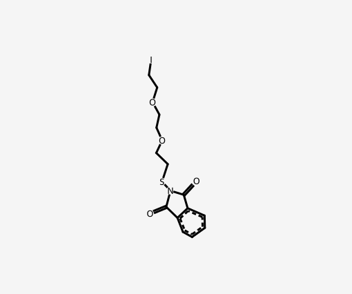 O=C1c2ccccc2C(=O)N1SCCOCCOCCI